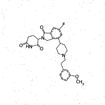 COc1cccc(CCN2CCC(c3cc(F)cc4c3CN(C3CCC(=O)NC3=O)C4=O)CC2)c1